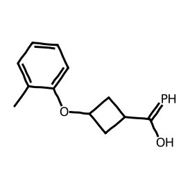 Cc1ccccc1OC1CC(C(O)=P)C1